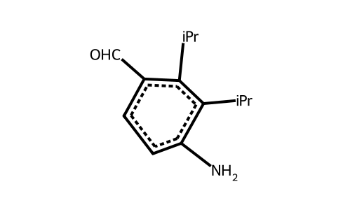 CC(C)c1c(N)ccc(C=O)c1C(C)C